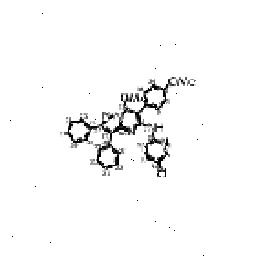 COc1ccc(-c2c(Nc3ncc(Cl)cn3)nc3c(-c4ccccc4)c(-c4ccccc4)nn3c2OC)cc1